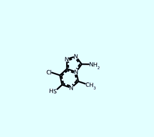 Cc1nc(S)c(Cl)c2nnc(N)n12